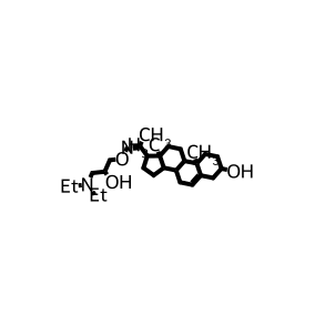 CCN(CC)CC(O)CO/N=C(/C)C1CCC2C3CC=C4CC(O)CCC4(C)C3CCC12C